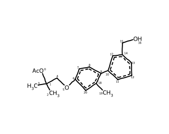 CC(=O)OC(C)(C)COc1ccc(-c2cccc(CO)c2)c(C)c1